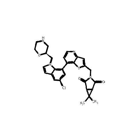 CC1(C)C2C(=O)N(Cc3cc4nccc(-c5cc(Cl)cc6ccn(C[C@@H]7CNCCO7)c56)c4s3)C(=O)C21